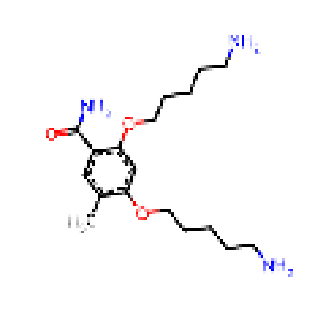 Cc1cc(C(N)=O)c(OCCCCCN)cc1OCCCCCN